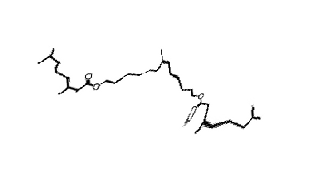 CC(C)CCCC(C)CC(=O)OCCCCCCC(C)CCCCCCOC(=O)CC(C)CCCC(C)C